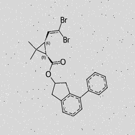 CC1(C)[C@H](C(=O)OC2Cc3cccc(-c4ccccc4)c3C2)[C@@H]1C=C(Br)Br